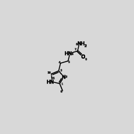 Cc1nc(CCNC(N)=O)c[nH]1